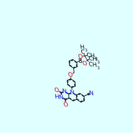 CC1(C)OB(c2cccc(COc3ccc(-n4c5nc(=O)[nH]c(=O)c-5cc5ccc(C#N)cc54)cc3)c2)OC1(C)C